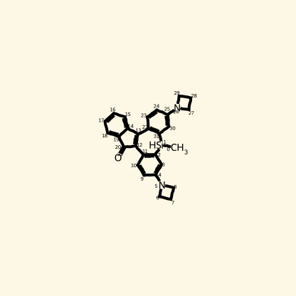 C[SiH]1c2cc(N3CCC3)ccc2C2=C(c3ccccc3C2=O)c2ccc(N3CCC3)cc21